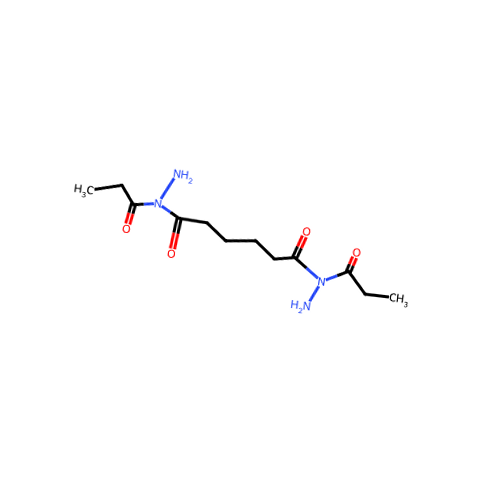 CCC(=O)N(N)C(=O)CCCCC(=O)N(N)C(=O)CC